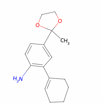 CC1(c2ccc(N)c(C3=CCCCC3)c2)OCCO1